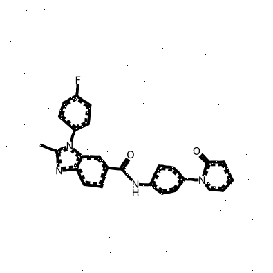 Cc1nc2ccc(C(=O)Nc3ccc(-n4ccccc4=O)cc3)cc2n1-c1ccc(F)cc1